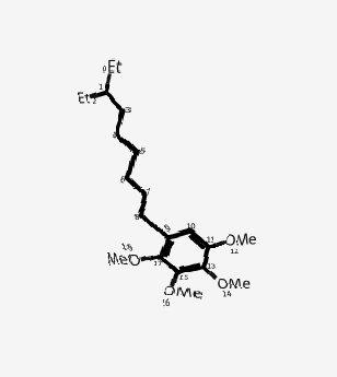 CCC(CC)CCCCCCc1cc(OC)c(OC)c(OC)c1OC